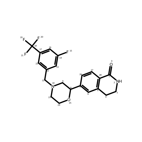 O=C1NCCc2cc(C3CN(Cc4cc(F)cc(C(F)(F)F)c4)CCO3)ccc21